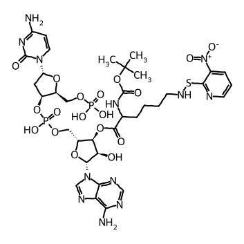 CC(C)(C)OC(=O)NC(CCCCNSc1ncccc1[N+](=O)[O-])C(=O)O[C@H]1[C@@H](O)[C@H](n2cnc3c(N)ncnc32)O[C@@H]1COP(=O)(O)O[C@H]1C[C@H](n2ccc(N)nc2=O)O[C@H]1COP(=O)(O)O